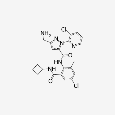 Cc1cc(Cl)cc(C(=O)NC2CCC2)c1NC(=O)c1cc(CN)nn1-c1ncccc1Cl